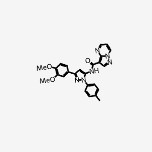 COc1ccc(-c2cc(NC(=O)c3cnn4cccnc34)n(-c3ccc(C)cc3)n2)cc1OC